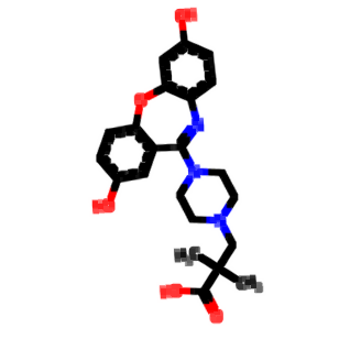 CC(C)(CN1CCN(C2=Nc3ccc(O)cc3Oc3ccc(O)cc32)CC1)C(=O)O